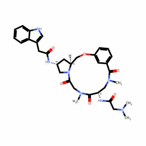 CN(C)CC(=O)N[C@H]1CN(C)C(=O)c2cccc(c2)OC[C@@H]2C[C@@H](NC(=O)Cc3c[nH]c4ccccc34)CN2C(=O)CN(C)C1=O